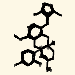 COc1ncc(Cc2c(C)noc2C)c2c1C[C@]1(c3ccc(F)cc3F)N=C(N)SC[C@@H]1C2